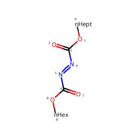 CCCCCCCOC(=O)/N=N/C(=O)OCCCCCC